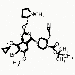 COc1cc2c(N3CCN(C(=O)OC(C)(C)C)[C@@H](CC#N)C3)nc(OC[C@@H]3CCCN3C)nc2c(OC2CC2)c1Br